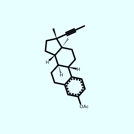 CC#C[C@@]1(C)CC[C@H]2[C@@H]3CCc4cc(OC(C)=O)ccc4[C@H]3CC[C@@]21C